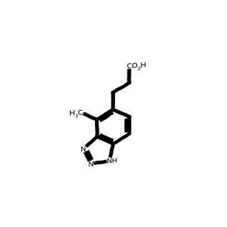 Cc1c(CCC(=O)O)ccc2[nH]nnc12